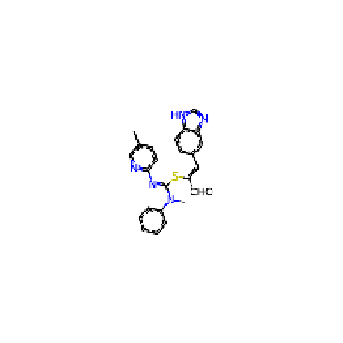 Cc1ccc(/N=C(\S/C(C=O)=C\c2ccc3[nH]cnc3c2)N(C)c2ccccc2)nc1